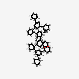 CC(C)(C)c1cc(-c2ccccc2-c2cc(-c3ccccc3)cc(-c3ccccc3)c2)c2sc3c(-c4ccccc4-c4cc(-c5ccccc5)cc(-c5ccccc5)c4)cc4ccccc4c3c2c1